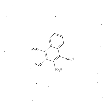 COc1c(S(=O)(=O)O)c(S(=O)(=O)O)c2ccccc2c1OC